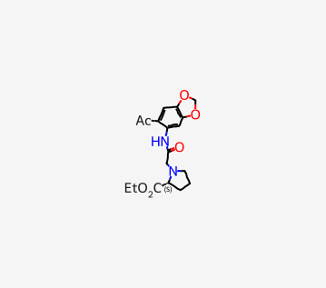 CCOC(=O)[C@@H]1CCCN1CC(=O)Nc1cc2c(cc1C(C)=O)OCO2